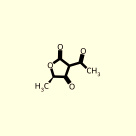 CC(=O)C1C(=O)O[C@H](C)C1=O